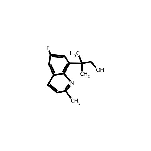 Cc1ccc2cc(F)cc(C(C)(C)CO)c2n1